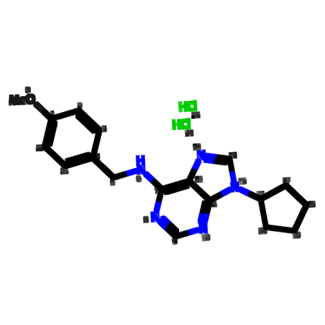 COc1ccc(CNc2ncnc3c2ncn3C2CCCC2)cc1.Cl.Cl